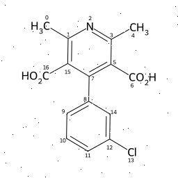 Cc1nc(C)c(C(=O)O)c(-c2cccc(Cl)c2)c1C(=O)O